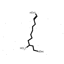 CCCCCCCCC=CCCCCCCC(CCCCCCCCCCCC)C(=O)O